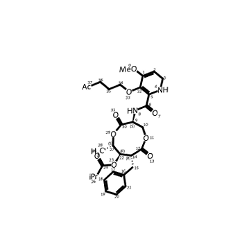 COC1=CCNC(C(=O)N[C@H]2COC(=O)[C@H](Cc3ccccc3)[C@@H](OC(=O)C(C)C)[C@H](C)OC2=O)=C1OCCCC(C)=O